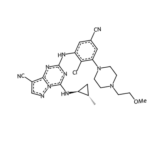 COCCN1CCN(c2cc(C#N)cc(Nc3nc(N[C@H]4C[C@@H]4C)n4ncc(C#N)c4n3)c2Cl)CC1